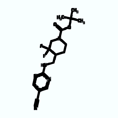 CC(C)(C)OC(=O)N1CCC(CNc2ncc(C#N)cn2)C(F)(F)C1